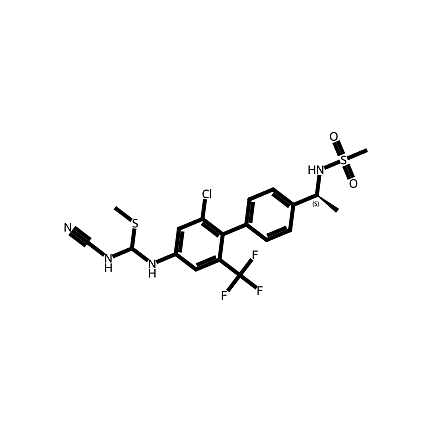 CSC(NC#N)Nc1cc(Cl)c(-c2ccc([C@H](C)NS(C)(=O)=O)cc2)c(C(F)(F)F)c1